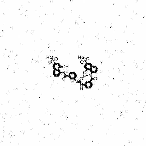 O=C(Nc1cccc(C(=O)Nc2cccc3cc(S(=O)(=O)O)cc(O)c23)c1)Nc1cccc(C(=O)Nc2cccc3cc(S(=O)(=O)O)cc(O)c23)c1